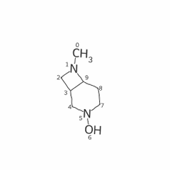 CN1CC2CN(O)CCC21